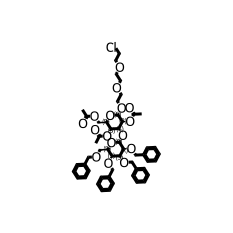 CC(=O)OC[C@H]1O[C@H](OCCOCCOCCCl)[C@H](OC(C)=O)[C@@H](O[C@@H]2O[C@H](COCc3ccccc3)[C@H](OCc3ccccc3)[C@H](OCc3ccccc3)[C@H]2OCc2ccccc2)[C@H]1OC(C)=O